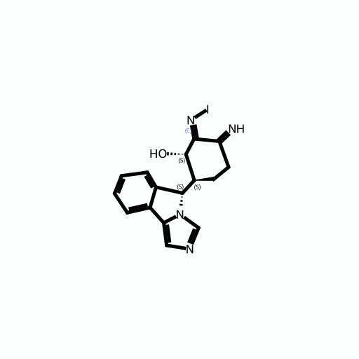 N=C1CC[C@@H]([C@H]2c3ccccc3-c3cncn32)[C@H](O)/C1=N/I